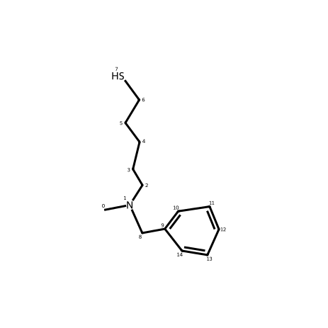 CN(CCCCCS)Cc1ccccc1